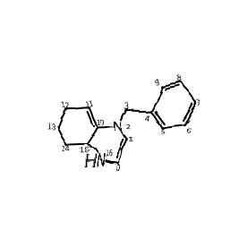 C1=CN(Cc2ccccc2)C2=CCCCC2N1